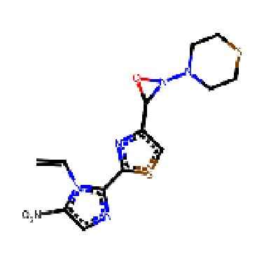 C=Cn1c([N+](=O)[O-])cnc1-c1nc(C2ON2N2CCSCC2)cs1